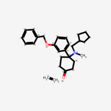 C=C.CN(CC1CCCC1)C1(c2cccc(OCc3ccccc3)c2)CCC(=O)CC1